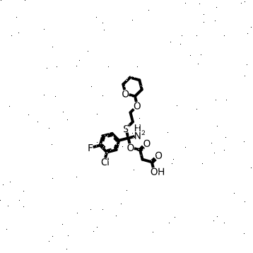 NC(OC(=O)CC(=O)O)(SCCOC1CCCCO1)c1ccc(F)c(Cl)c1